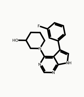 OC1CCCN(c2ncnc3[nH]cc(-c4cccc(F)c4)c23)C1